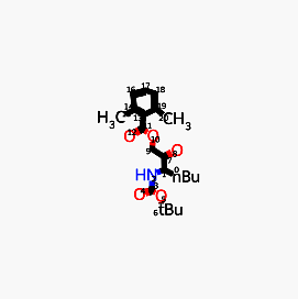 CCCCC(NC(=O)OC(C)(C)C)C(=O)COC(=O)c1c(C)cccc1C